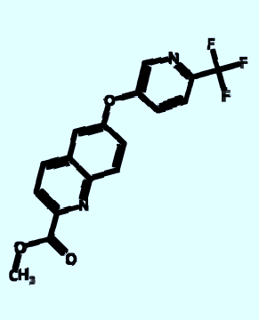 COC(=O)c1ccc2cc(Oc3ccc(C(F)(F)F)nc3)ccc2n1